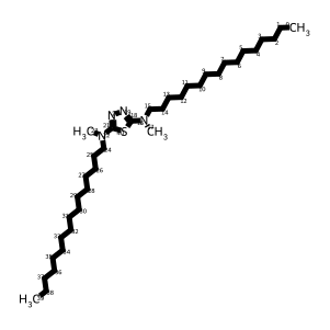 CCCCCCCCCCCCCCCCN(C)c1nnc(N(C)CCCCCCCCCCCCCCCC)s1